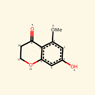 COc1cc(O)cc2c1C(=O)CCO2